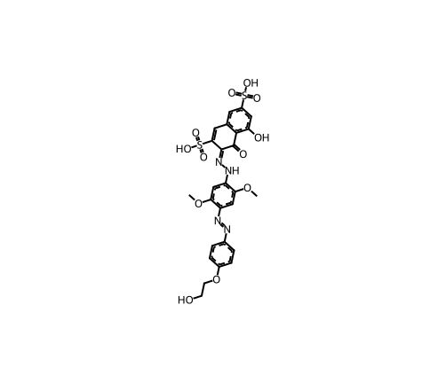 COc1cc(N/N=C2\C(=O)c3c(O)cc(S(=O)(=O)O)cc3C=C2S(=O)(=O)O)c(OC)cc1/N=N/c1ccc(OCCO)cc1